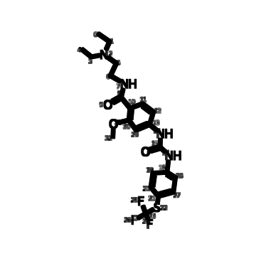 CCN(CC)CCNC(=O)c1ccc(NC(=O)Nc2ccc(SC(F)(F)F)cc2)cc1OC